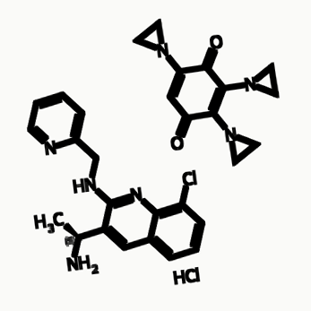 C[C@H](N)c1cc2cccc(Cl)c2nc1NCc1ccccn1.Cl.O=C1C=C(N2CC2)C(=O)C(N2CC2)=C1N1CC1